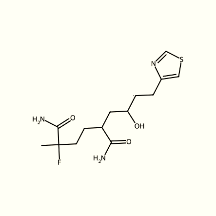 CC(F)(CCC(CC(O)[CH]Cc1cscn1)C(N)=O)C(N)=O